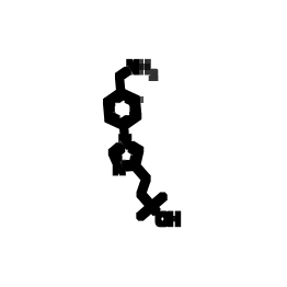 CC(C)(O)CCc1cn(-c2c[c]c(CN)cc2)cn1